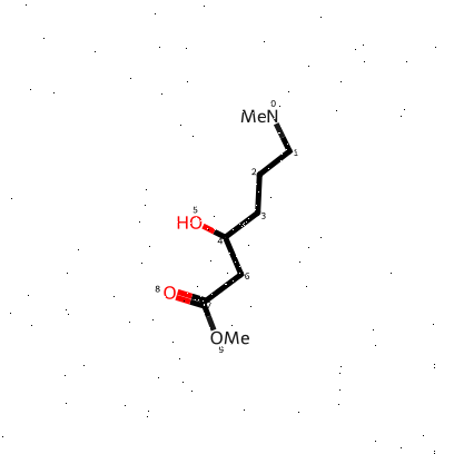 CNCCCC(O)CC(=O)OC